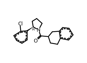 O=C(C1CCc2ccccc2C1)N1CCC[C@@H]1c1ccccc1Cl